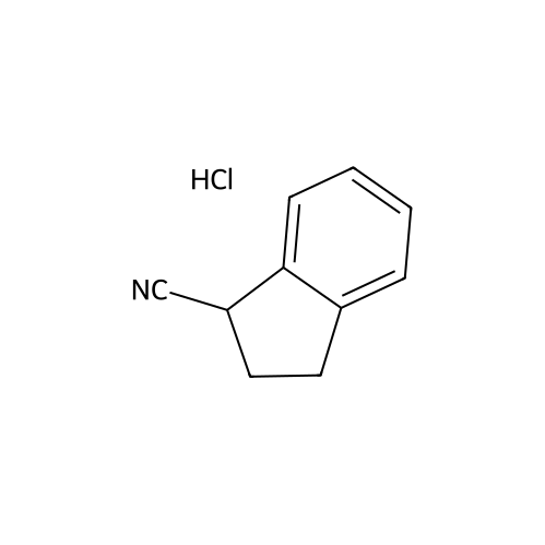 Cl.N#CC1CCc2ccccc21